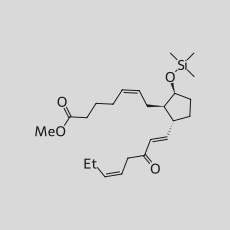 CC/C=C\CC(=O)/C=C/[C@H]1CC[C@H](O[Si](C)(C)C)[C@@H]1C/C=C\CCCC(=O)OC